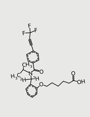 [2H]C([2H])(c1ccccc1OCCCCCC(=O)O)N(C(=O)c1ccc(C#CC(F)(F)F)cc1)C(C)C